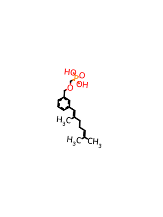 CC(C)=CCC/C(C)=C/c1cccc(COCP(=O)(O)O)c1